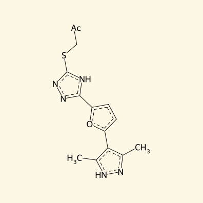 CC(=O)CSc1nnc(-c2ccc(-c3c(C)n[nH]c3C)o2)[nH]1